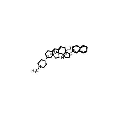 CN1CCN([C@@H]2CCC3=CC4=CC[C@]5(C)[C@@H](c6ccc7ccccc7c6)CC[C@H]5[C@@]45CC[C@]3(C2)O5)CC1